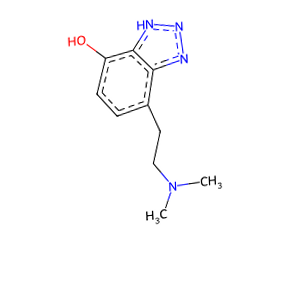 CN(C)CCc1ccc(O)c2[nH]nnc12